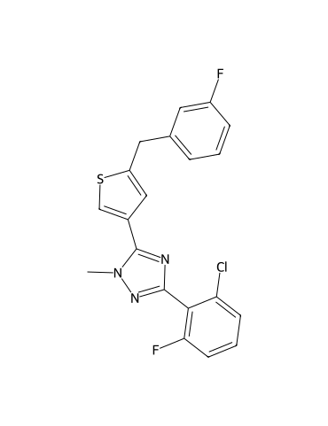 Cn1nc(-c2c(F)cccc2Cl)nc1-c1csc(Cc2cccc(F)c2)c1